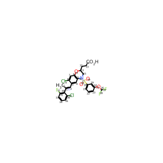 C/C(=C\c1cc2c(cc1Cl)OC(CCC(=O)O)CN2S(=O)(=O)c1cccc(OC(F)F)c1)c1c(F)cccc1Cl